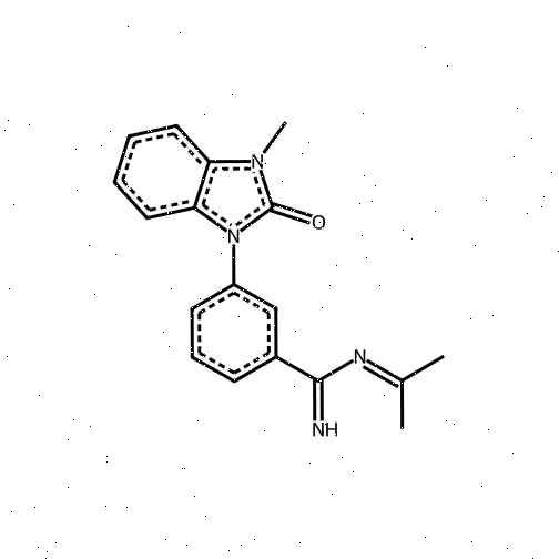 CC(C)=NC(=N)c1cccc(-n2c(=O)n(C)c3ccccc32)c1